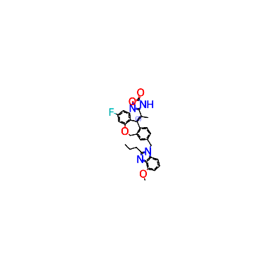 CCCc1nc2c(OC)cccc2n1Cc1ccc2c(c1)COc1cc(F)ccc1/C2=C(/C)c1noc(=O)[nH]1